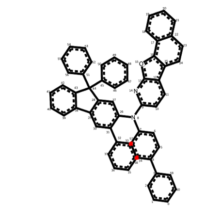 c1ccc(-c2ccc(N(c3ccc4c(n3)oc3c5ccccc5ccc43)c3cc4c(cc3-c3ccccc3)-c3ccccc3C4(c3ccccc3)c3ccccc3)cc2)cc1